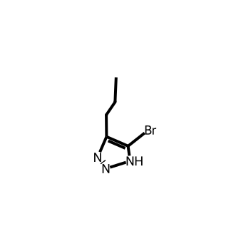 CCCc1nn[nH]c1Br